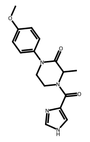 COc1ccc(N2CCN(C(=O)c3c[nH]cn3)C(C)C2=O)cc1